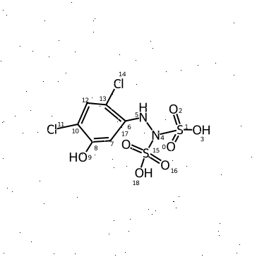 O=S(=O)(O)N(Nc1cc(O)c(Cl)cc1Cl)S(=O)(=O)O